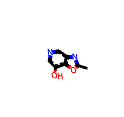 Cc1nc2cncc(O)c2o1